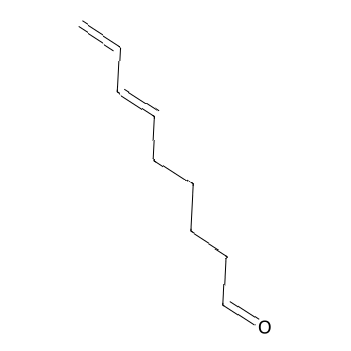 C=CC=CCCCCC=O